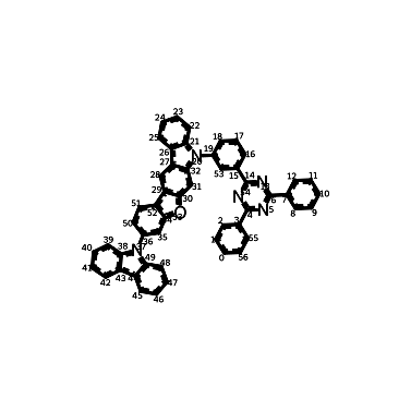 c1ccc(-c2nc(-c3ccccc3)nc(-c3cccc(-n4c5ccccc5c5cc6c(cc54)oc4cc(-n5c7ccccc7c7ccccc75)ccc46)c3)n2)cc1